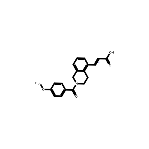 COc1ccc(C(=O)N2CCc3c(/C=C/C(=O)O)cccc3C2)cc1